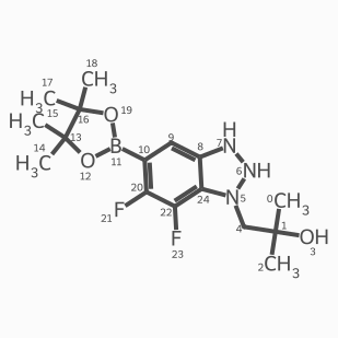 CC(C)(O)CN1NNc2cc(B3OC(C)(C)C(C)(C)O3)c(F)c(F)c21